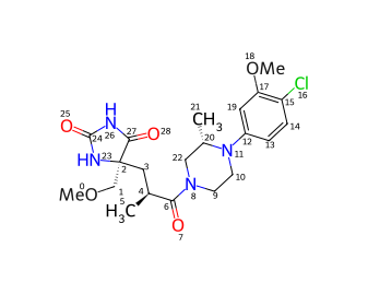 COC[C@]1(C[C@H](C)C(=O)N2CCN(c3ccc(Cl)c(OC)c3)[C@@H](C)C2)NC(=O)NC1=O